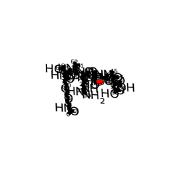 CC(=O)NCCOCCOCCC(=O)NC(C(=O)NC(C(=O)NC(CCCNC(=N)N)C(=O)NC(C(=O)NC(CO)C(=O)NC(C)C(=O)NC(CC(=O)O)C(=O)O)C(C)O)C(C)C)C(C)O